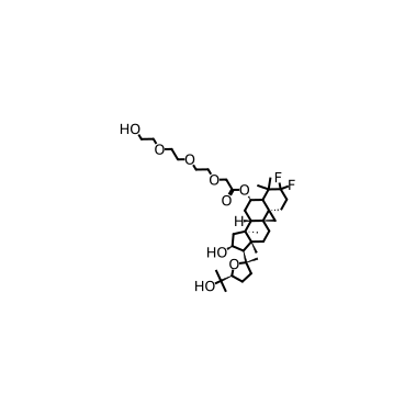 CC(C)(O)[C@@H]1CC[C@@](C)([C@H]2[C@@H](O)C[C@@]3(C)[C@@H]4C[C@H](OC(=O)COCCOCCOCCO)C5C(C)(C)C(F)(F)CC[C@@]56C[C@@]46CC[C@]23C)O1